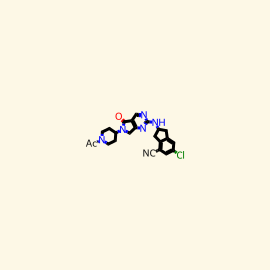 CC(=O)N1CCC(N2Cc3nc(NC4Cc5cc(Cl)cc(C#N)c5C4)ncc3C2=O)CC1